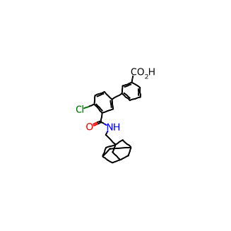 O=C(O)c1cccc(-c2ccc(Cl)c(C(=O)NCC34CC5CC(CC(C5)C3)C4)c2)c1